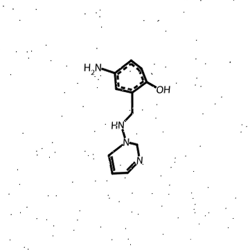 Nc1ccc(O)c(CNN2C=CC=NC2)c1